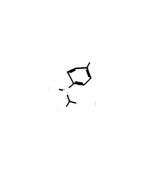 CN(c1ccc(Cl)cc1)C(C(=O)O)C(=O)O